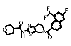 O=C(Nc1nc2c(s1)CN(C(=O)c1ccc3cc(F)cc(C(F)F)c3c1)CC2)C1CCOCC1